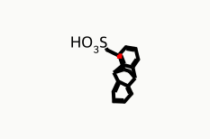 O=S(=O)(O)CCC1CC2c3ccccc3C1c1ccccc12